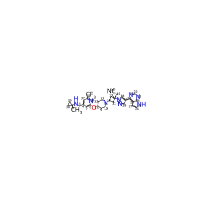 CC1(NCc2cc(OC3CCN(C4CC(CC#N)(n5cc(-c6ncnc7[nH]ccc67)cn5)C4)CC3)nc(C(F)(F)F)c2)CC1